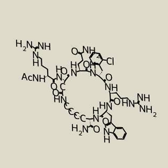 CC(=O)N[C@H](CCCNC(=N)N)C(=O)N[C@H]1CC(=O)NCCCC[C@@H](C(N)=O)NC(=O)[C@H](Cc2c[nH]c3ccccc23)NC(=O)[C@H](CCCNC(=N)N)NC(=O)[C@@H](Cc2ccccc2Cl)NC(=O)[C@H](CCC(N)=O)NC1=O